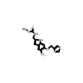 CC(C)(C)OC(=O)NCc1cc2cc(C(F)(F)F)c(OCc3cscn3)cc2[nH]1